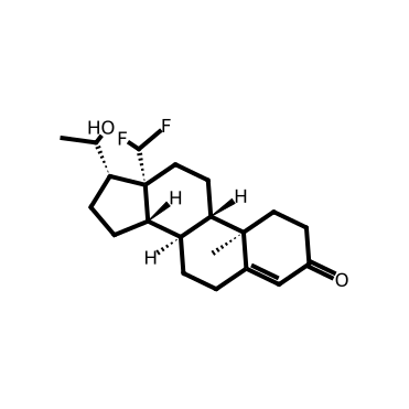 CC(O)[C@H]1CC[C@H]2[C@@H]3CCC4=CC(=O)CC[C@]4(C)[C@H]3CC[C@]12C(F)F